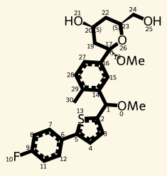 COC(c1ccc(-c2ccc(F)cc2)s1)c1cc([C@@]2(OC)C[C@@H](O)C[C@@H](CO)O2)ccc1C